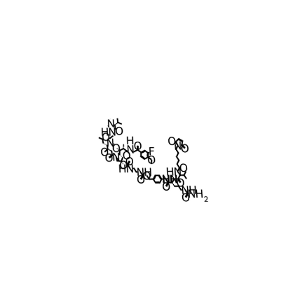 CCC[C@@H]([C@@H](CC(=O)N1C[C@@H](OC(=O)NCCNC(=O)OCc2ccc(NC(=O)[C@H](CCCNC(N)=O)NC(=O)[C@@H](NC(=O)CCCCCN3C(=O)C=CC3=O)C(C)C)cc2)C[C@H]1[C@H](OC)[C@@H](C)C(=O)NCC(=O)c1ccc(OC)c(F)c1)OC)N(C)C(=O)CNC(=O)[C@H](C(C)C)N(C)C